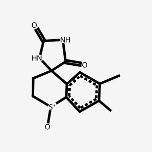 Cc1cc2c(cc1C)C1(CC[S+]2[O-])NC(=O)NC1=O